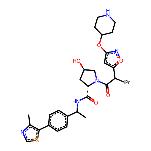 Cc1ncsc1-c1ccc(C(C)NC(=O)[C@@H]2C[C@@H](O)CN2C(=O)C(c2cc(OC3CCNCC3)no2)C(C)C)cc1